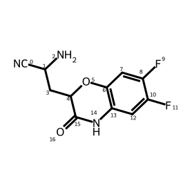 N#CC(N)CC1Oc2cc(F)c(F)cc2NC1=O